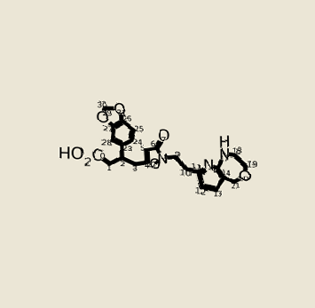 O=C(O)CC(Cc1cc(=O)n(CCc2ccc3c(n2)NCCOC3)o1)c1ccc2c(c1)OCO2